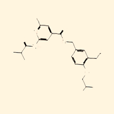 Cc1cc(C(=O)NCc2ccc(OCC(F)F)c(CI)c2)cc(NC(=O)C(C)C)n1